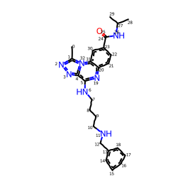 Cc1nnc2c(NCCCCNCc3ccccc3)nc3ccc(C(=O)NC(C)C)cc3n12